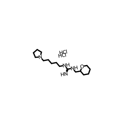 Cl.Cl.N=C(NCCCCCN1CCCC1)NCC1CCCCO1